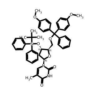 COc1ccc(C(OC[C@H]2O[C@@H](n3cc(C)c(=O)[nH]c3=O)C[C@@H]2O[Si](c2ccccc2)(c2ccccc2)C(C)(C)C)(c2ccccc2)c2ccc(OC)cc2)cc1